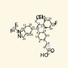 CC/C(=C(/c1ccc(/C=C/C(=O)O)cc1)c1ccc2c(cnn2C(F)F)c1)c1ccc(F)cc1Cl